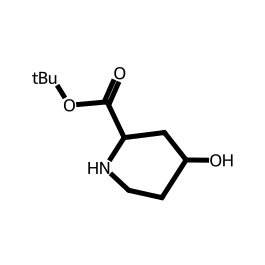 CC(C)(C)OC(=O)C1CC(O)CCN1